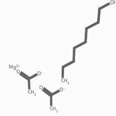 CC(=O)[O-].CC(=O)[O-].CCCCCCCCO.[Mg+2]